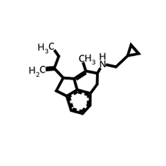 C=C(CC)C1Cc2cccc3c2C1=C(C)C(NCC1CC1)C3